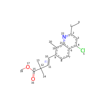 CCc1cc(Cl)c2ccc(/C=C/C(C)(C)C(=O)OC)c(C)c2n1